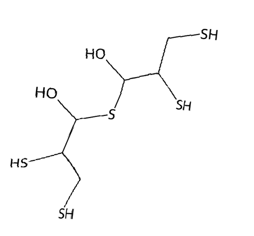 OC(SC(O)C(S)CS)C(S)CS